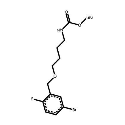 CC(C)(C)OC(=O)NCCCCOCc1cc(Br)ccc1F